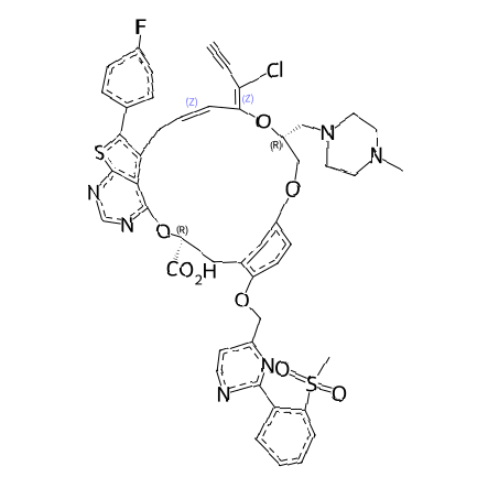 C#C/C(Cl)=C1\C=C/Cc2c(-c3ccc(F)cc3)sc3ncnc(c23)O[C@@H](C(=O)O)Cc2cc(ccc2OCc2ccnc(-c3ccccc3S(C)(=O)=O)n2)OC[C@@H](CN2CCN(C)CC2)O1